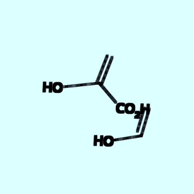 C=C(O)C(=O)O.C=CO